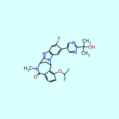 CN1C(=O)c2cccc(OC(F)F)c2C2CC1c1nc3cc(F)c(-c4cnc(C(C)(C)O)nc4)cc3n12